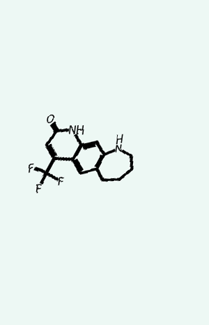 O=c1cc(C(F)(F)F)c2cc3c(cc2[nH]1)NCCCC3